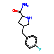 NC(=O)C1CC(Cc2ccc(F)cc2)CN1